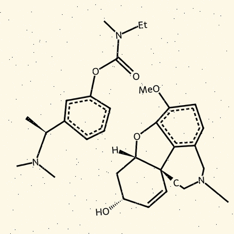 CCN(C)C(=O)Oc1cccc([C@H](C)N(C)C)c1.COc1ccc2c3c1O[C@H]1C[C@@H](O)C=C[C@@]31CCN(C)C2